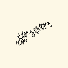 NC(=O)c1cccc2cn(CCCC(=O)N3CCN(c4cnc(C(F)(F)F)cn4)CC3)nc12